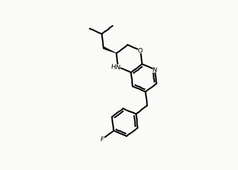 CC(C)C[C@H]1COc2ncc(Cc3ccc(F)cc3)cc2N1